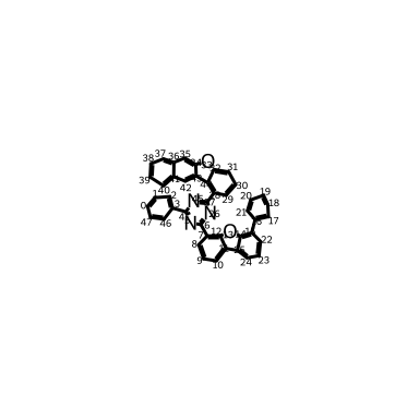 c1ccc(-c2nc(-c3cccc4c3oc3c(-c5ccccc5)cccc34)nc(-c3cccc4oc5cc6ccccc6cc5c34)n2)cc1